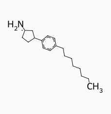 CCCCCCCCc1ccc(C2CC[C](N)C2)cc1